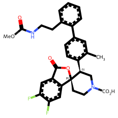 COC(=O)NCCc1ccccc1-c1ccc([C@H]2CN(C(=O)O)CC[C@@]23OC(=O)c2cc(F)c(F)cc23)c(C)c1